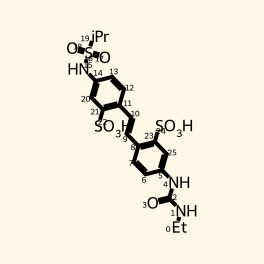 CCNC(=O)Nc1ccc(C=Cc2ccc(NS(=O)(=O)C(C)C)cc2S(=O)(=O)O)c(S(=O)(=O)O)c1